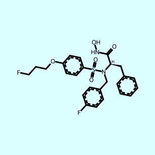 O=C(NO)[C@@H](Cc1ccccc1)N(Cc1ccc(F)cc1)S(=O)(=O)c1ccc(OCCCF)cc1